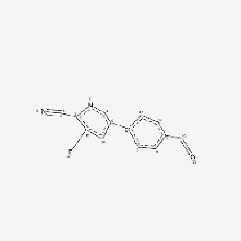 N#Cc1ncc(-c2ccc(C=O)cc2)cc1F